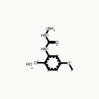 COc1ccc(Cl)c(NC(=O)NN)c1.Cl